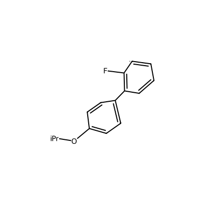 CC(C)Oc1ccc(-c2ccc[c]c2F)cc1